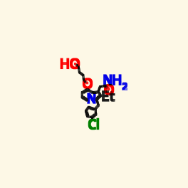 CCc1c(CC(N)=O)c2c(OCCCCO)cccn2c1Cc1cccc(Cl)c1